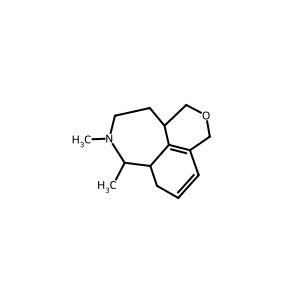 CC1C2CC=CC3=C2C(CCN1C)COC3